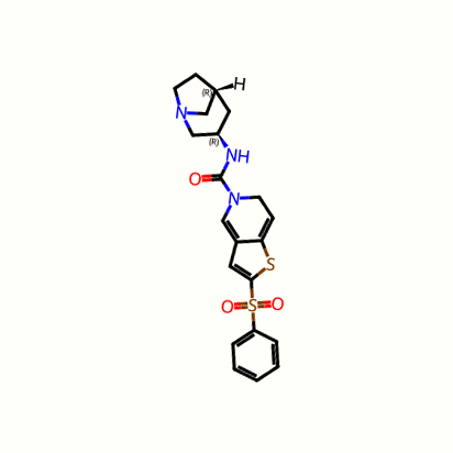 O=C(N[C@@H]1C[C@H]2CCN(C2)C1)N1C=c2cc(S(=O)(=O)c3ccccc3)sc2=CC1